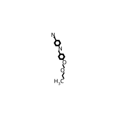 CCCCOCCOc1ccc(C=Nc2ccc(C#N)cc2)cc1